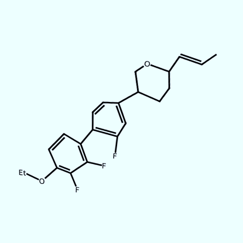 C/C=C/C1CCC(c2ccc(-c3ccc(OCC)c(F)c3F)c(F)c2)CO1